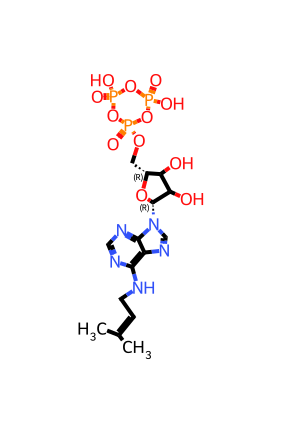 CC(C)=CCNc1ncnc2c1ncn2[C@@H]1O[C@H](COP2(=O)OP(=O)(O)OP(=O)(O)O2)C(O)C1O